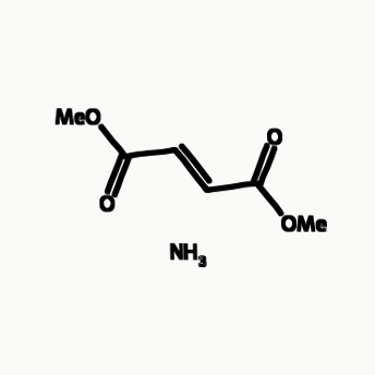 COC(=O)/C=C/C(=O)OC.N